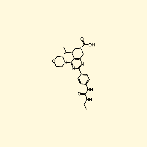 CCNC(=O)Nc1ccc(-c2nc3c(c(N4CCOCC4)n2)C(C(C)C)CN(C(=O)O)C3)cc1